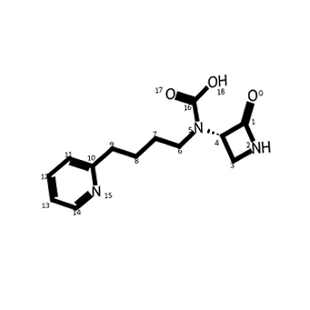 O=C1NC[C@@H]1N(CCCCc1ccccn1)C(=O)O